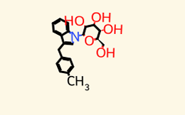 Cc1ccc(Cc2cn([C@@H]3O[C@H](CO)[C@@H](O)[C@H](O)[C@H]3O)c3ccccc23)cc1